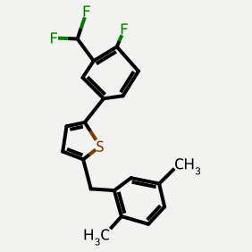 Cc1ccc(C)c(Cc2ccc(-c3ccc(F)c(C(F)F)c3)s2)c1